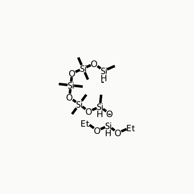 CCO[SiH](OCC)O[SiH](C)O[Si](C)(C)O[Si](C)(C)O[Si](C)(C)O[SiH](C)C